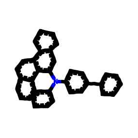 c1ccc(-c2ccc(N(c3ccccc3)c3cc4ccccc4c4ccc5ccccc5c34)cc2)cc1